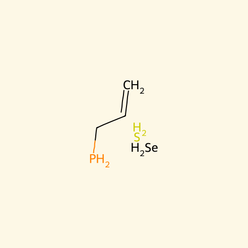 C=CCP.S.[SeH2]